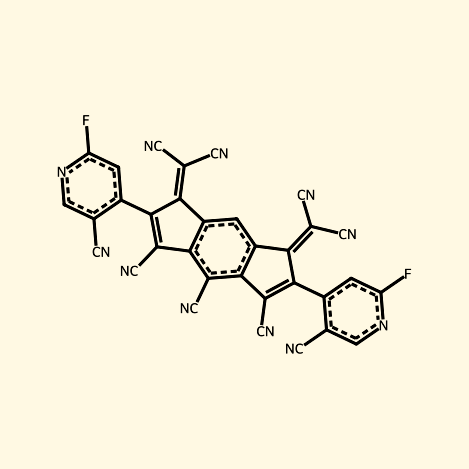 N#CC(C#N)=C1C(c2cc(F)ncc2C#N)=C(C#N)c2c1cc1c(c2C#N)C(C#N)=C(c2cc(F)ncc2C#N)C1=C(C#N)C#N